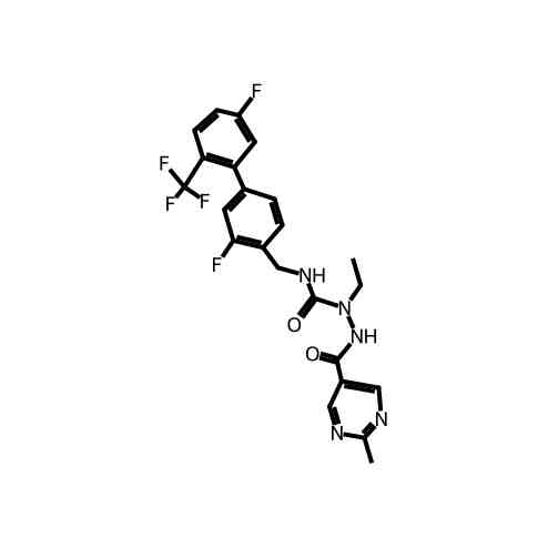 CCN(NC(=O)c1cnc(C)nc1)C(=O)NCc1ccc(-c2cc(F)ccc2C(F)(F)F)cc1F